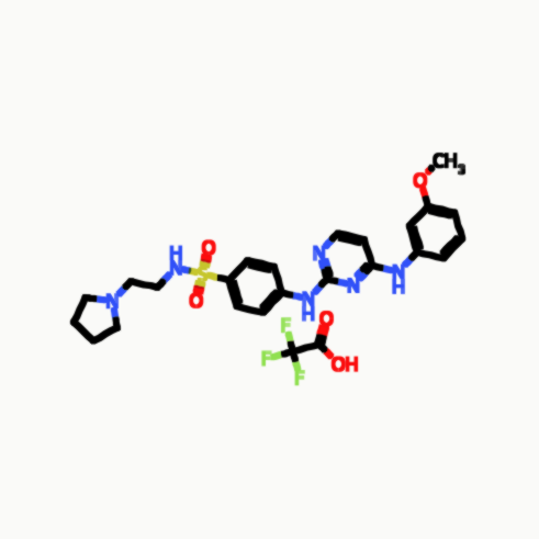 COc1cccc(Nc2ccnc(Nc3ccc(S(=O)(=O)NCCN4CCCC4)cc3)n2)c1.O=C(O)C(F)(F)F